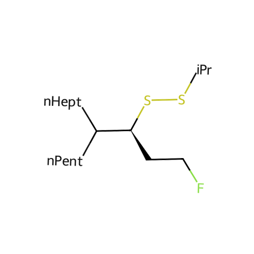 CCCCCCCC(CCCCC)[C@H](CCF)SSC(C)C